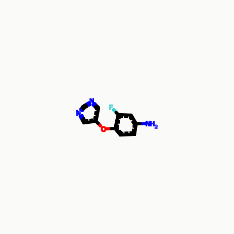 Nc1ccc(Oc2cncnc2)c(F)c1